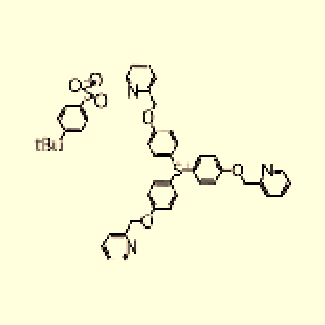 CC(C)(C)c1ccc(S(=O)(=O)[O-])cc1.c1ccc(COc2ccc([S+](c3ccc(OCc4ccccn4)cc3)c3ccc(OCc4ccccn4)cc3)cc2)nc1